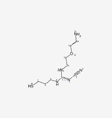 N#C/N=C(/NCCCS)NCCOCCN